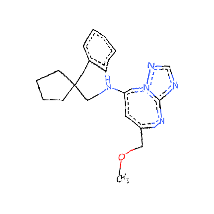 COCc1cc(NCC2(c3ccccc3)CCCC2)n2ncnc2n1